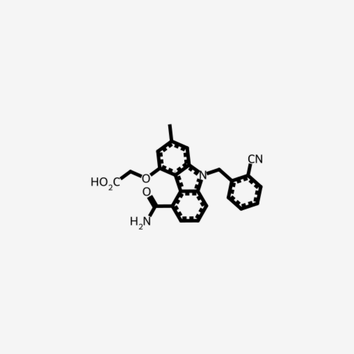 Cc1cc(OCC(=O)O)c2c3c(C(N)=O)cccc3n(Cc3ccccc3C#N)c2c1